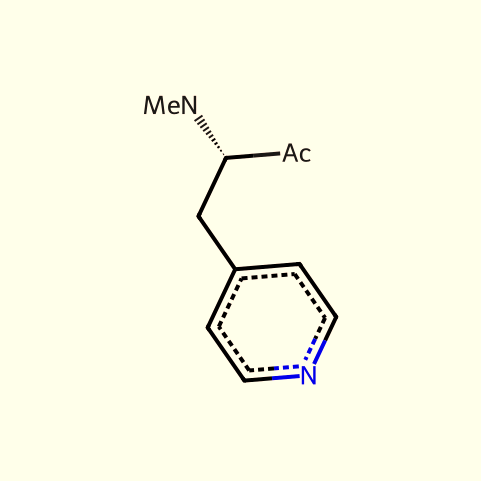 CN[C@@H](Cc1ccncc1)C(C)=O